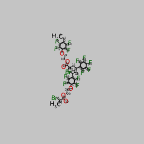 C=Cc1c(F)c(F)c(OCCOC(=O)C(C)CC(CC(Br)c2c(F)c(F)c(OCCOC(=O)C(C)Br)c(F)c2F)c2c(F)c(F)c(F)c(F)c2F)c(F)c1F